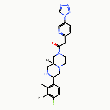 Cc1c([C@@H]2CN3CCN(C(=O)Cc4ccc(-n5cnnn5)cn4)C[C@H]3CN2)ccc(F)c1C#N